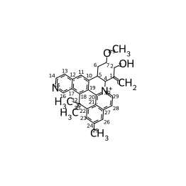 C=C(CO)C1C(CCOC)c2cc3ccncc3c3c2-c2c4c(cc(C)cc4cc[n+]21)C3(C)C